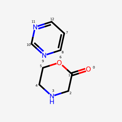 O=C1CNCCO1.c1cncnc1